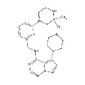 CC1(C)CN(c2cccc(CNc3ncnn4ccc(C5CCOCC5)c34)n2)CCN1